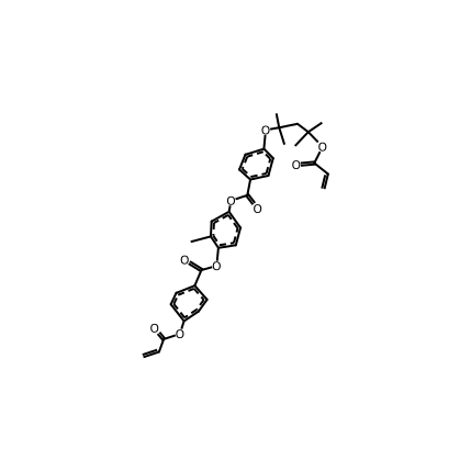 C=CC(=O)Oc1ccc(C(=O)Oc2ccc(OC(=O)c3ccc(OC(C)(C)CC(C)(C)OC(=O)C=C)cc3)cc2C)cc1